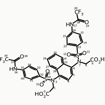 O=C(O)CN(c1ccc(N(CC(=O)O)S(=O)(=O)c2ccc(NC(=O)C(F)(F)F)cc2)c2ccccc12)S(=O)(=O)c1ccc(NC(=O)C(F)(F)F)cc1